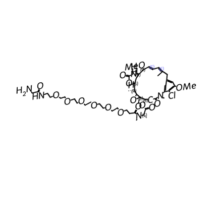 COc1cc2cc(c1Cl)N(C)C(=O)C[C@H](OC(=O)[C@H](C)N(C)C(=O)CCOCCOCCOCCOCCOCCOCCNC(=O)CN)[C@]1(C)OC1[C@H](C)[C@@H]1C[C@@H](NC(=O)O1)[C@H](OC)/C=C/C=C(\C)C2